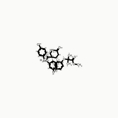 COC(=O)C(C)(C)Oc1ccc(Cl)cc1[C@H]1CC(=O)N[C@@H](c2cc(Cl)ccc2C)[C@]12C(=O)Nc1cc(Cl)ccc12